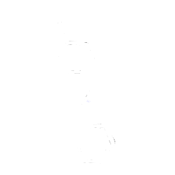 COc1[c]cc(/C=C/c2ccccc2)cc1